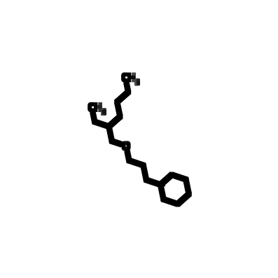 CCCCC(CC)COCCC[C]1CCCCC1